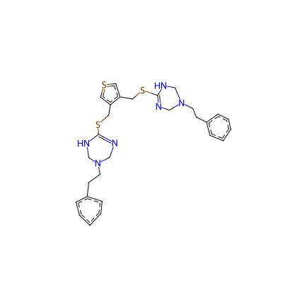 c1ccc(CCN2CN=C(SCc3cscc3CSC3=NCN(CCc4ccccc4)CN3)NC2)cc1